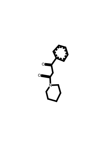 O=C(CC(=O)N1CCCCC1)c1ccccc1